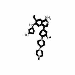 CCc1cc2c(N)ncc(-c3ccc(N4CCC(N5CCN(C)CC5)CC4)c(OC)c3)c2cc1NC1CCC(O)C1